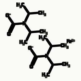 CC(C)N(C(=O)[O-])C(C)C.CC(C)N(C(=O)[O-])C(C)C.[Fe+2]